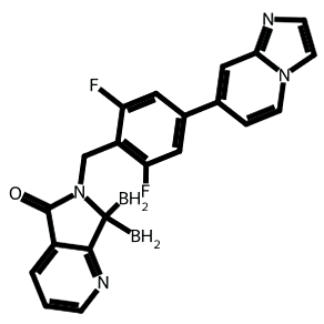 BC1(B)c2ncccc2C(=O)N1Cc1c(F)cc(-c2ccn3ccnc3c2)cc1F